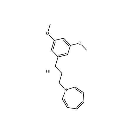 COc1cc(CCCN2C=CC=CC=C2)cc(OC)c1.I